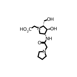 O=C(O)CN1C[C@@H](NC(=O)CN2CCCC2)[C@H](O)[C@H]1CO